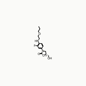 CCCOCCNc1ccc(N2C[C@H](CO)OC2=O)cc1F